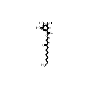 CCCCCCCCC(=O)CCCOC(=O)c1cc(O)c(O)c(O)c1